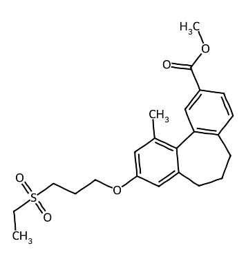 CCS(=O)(=O)CCCOc1cc(C)c2c(c1)CCCc1ccc(C(=O)OC)cc1-2